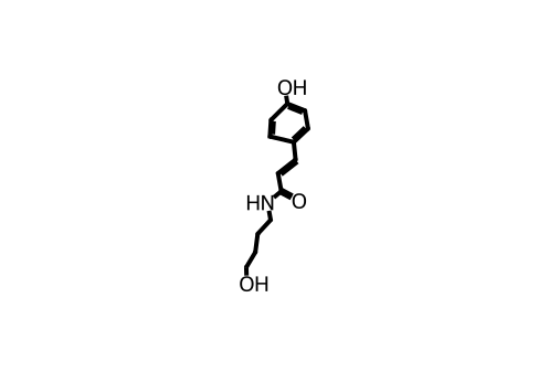 O=C(/C=C/c1ccc(O)cc1)NCCCCO